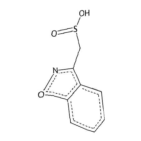 O=S(O)Cc1noc2ccccc12